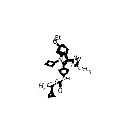 CCOc1ccc2c(-c3nnc(C)o3)c(-c3ccc(NC(=O)OC(C)C4CC4)cc3)n(C3CCC3)c2c1